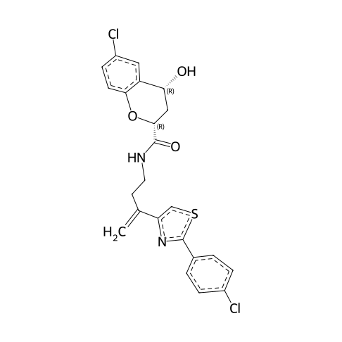 C=C(CCNC(=O)[C@H]1C[C@@H](O)c2cc(Cl)ccc2O1)c1csc(-c2ccc(Cl)cc2)n1